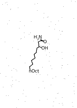 CCCCCCCCCCCCCCCC(O)CC(N)=O